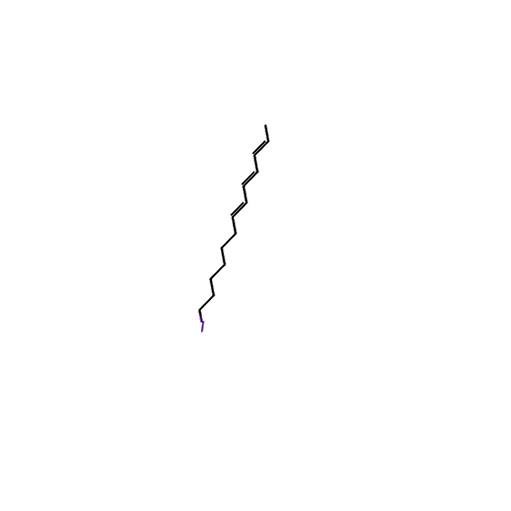 C/C=C/C=CC=CCCCCCCI